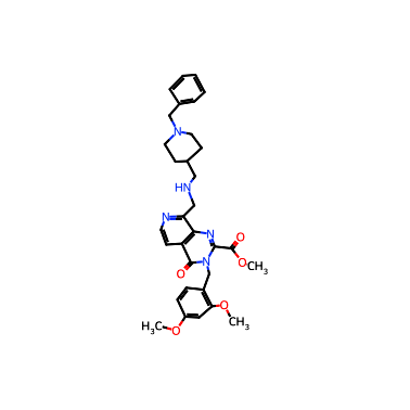 COC(=O)c1nc2c(CNCC3CCN(Cc4ccccc4)CC3)nccc2c(=O)n1Cc1ccc(OC)cc1OC